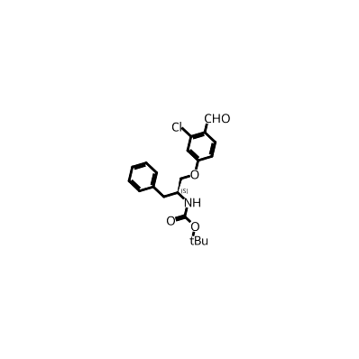 CC(C)(C)OC(=O)N[C@H](COc1ccc(C=O)c(Cl)c1)Cc1ccccc1